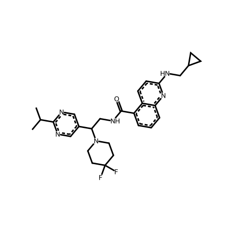 CC(C)c1ncc(C(CNC(=O)c2cccc3nc(NCC4CC4)ccc23)N2CCC(F)(F)CC2)cn1